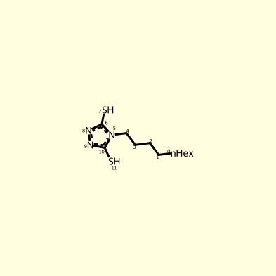 CCCCCCCCCCn1c(S)nnc1S